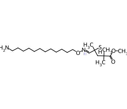 COC(=O)C(C)(C)CC(C)(S)/C=N/OCCCCCCCCCCCCN